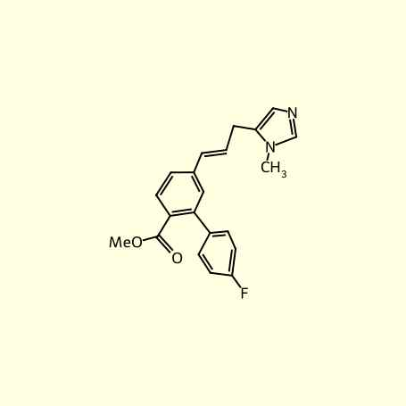 COC(=O)c1ccc(/C=C/Cc2cncn2C)cc1-c1ccc(F)cc1